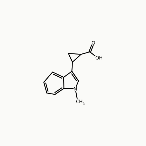 Cn1cc(C2CC2C(=O)O)c2ccccc21